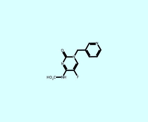 O=C(O)Nc1nc(=O)n(Cc2cccnc2)cc1F